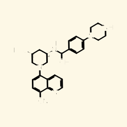 CC(N[C@@H]1C[C@H](C)CN(c2ccc(C#N)c3ncccc23)C1)c1ccc(N2CCNCC2)cc1